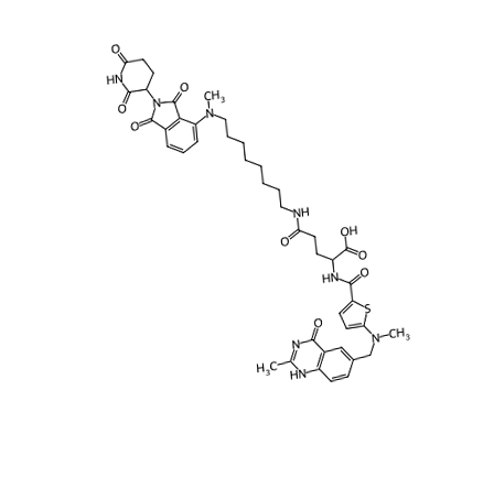 Cc1nc(=O)c2cc(CN(C)c3ccc(C(=O)NC(CCC(=O)NCCCCCCCCN(C)c4cccc5c4C(=O)N(C4CCC(=O)NC4=O)C5=O)C(=O)O)s3)ccc2[nH]1